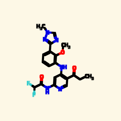 CCC(=O)c1cnc(NC(=O)C(F)F)cc1Nc1cccc(-c2ncn(C)n2)c1OC